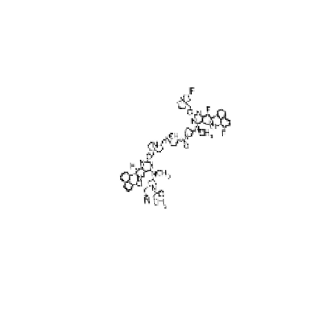 C=CC(=O)N1C[C@@H](N(C)c2nc(OCC34CCCN3C(CN(C)C/C=C/C(=O)N3CC[C@@H](N(C)c5nc(OC[C@@]67CCCN6C[C@H](F)C7)nc6c(F)c(-c7cccc8ccc(F)c(Cl)c78)ncc56)C3)CC4)nc3c(F)c(-c4cccc5cccc(Cl)c45)ncc23)C[C@@H]1CC#N